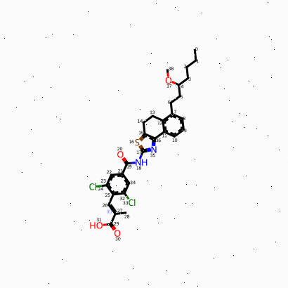 CCCCC(CCc1cccc2c1CCc1sc(NC(=O)c3cc(Cl)c(/C=C(\C)C(=O)O)c(Cl)c3)nc1-2)OC